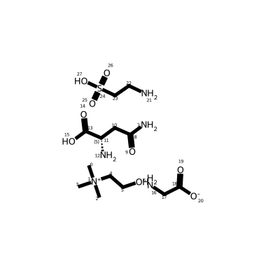 C[N+](C)(C)CCO.NC(=O)C[C@H](N)C(=O)O.NCC(=O)[O-].NCCS(=O)(=O)O